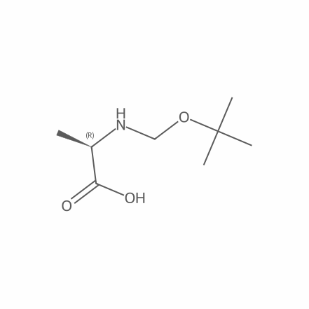 C[C@@H](NCOC(C)(C)C)C(=O)O